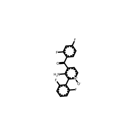 Nc1c(C(=O)c2ccc(F)cc2F)cc[n+]([O-])c1-c1c(F)cccc1F